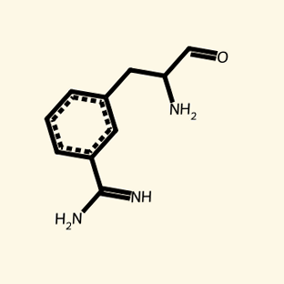 N=C(N)c1cccc(CC(N)C=O)c1